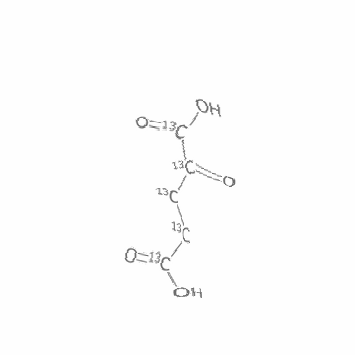 O=[13C](O)[13CH2][13CH2][13C](=O)[13C](=O)O